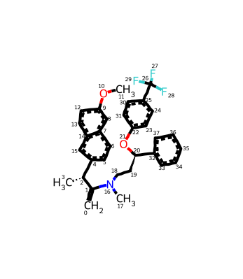 C=C([C@H](C)c1ccc2cc(OC)ccc2c1)N(C)CC[C@@H](Oc1ccc(C(F)(F)F)cc1)c1ccccc1